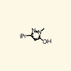 CC(C)c1cc(O)n(C)n1